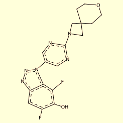 Oc1c(F)cc2nnn(-c3cnc(N4CC5(CCOCC5)C4)nc3)c2c1F